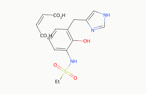 CCS(=O)(=O)Nc1cccc(Cc2c[nH]cn2)c1O.O=C(O)/C=C\C(=O)O